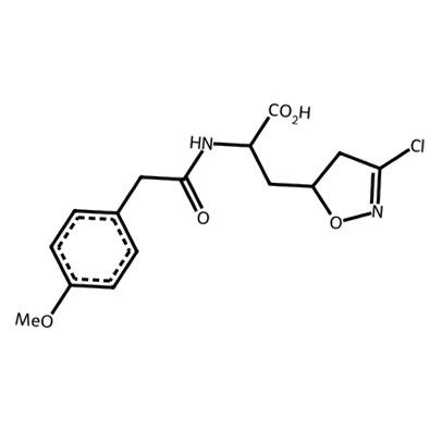 COc1ccc(CC(=O)NC(CC2CC(Cl)=NO2)C(=O)O)cc1